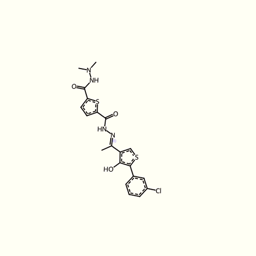 C/C(=N\NC(=O)c1ccc(C(=O)NN(C)C)s1)c1csc(-c2cccc(Cl)c2)c1O